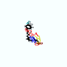 O=C(CC(O)Cc1ccnc(C[SH](=O)=O)n1)Oc1cccc(F)c1